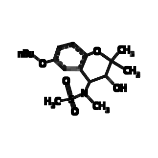 CCCCOc1ccc2c(c1)C(N(C)S(C)(=O)=O)C(O)C(C)(C)O2